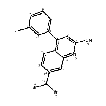 N#Cc1cc(-c2cccc(F)c2)c2ccc(C(Br)Br)cc2n1